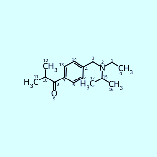 CCN(Cc1ccc(C(=O)C(C)C)cc1)C(C)C